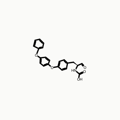 O=C[C@H](Cc1ccc(Oc2ccc(Oc3ccccc3)cc2)cc1)NC(=O)O